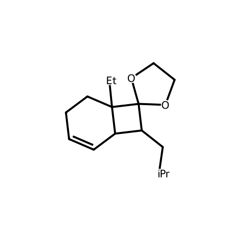 CCC12CCC=CC1C(CC(C)C)C21OCCO1